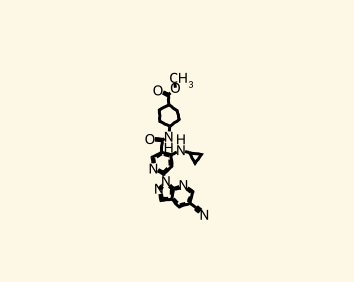 COC(=O)C1CCC(NC(=O)c2cnc(-n3ncc4cc(C#N)cnc43)cc2NC2CC2)CC1